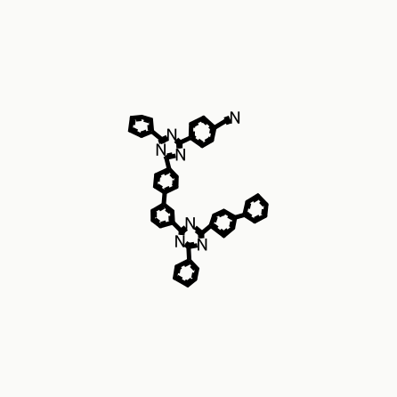 N#Cc1ccc(-c2nc(-c3ccccc3)nc(-c3ccc(-c4cccc(-c5nc(-c6ccccc6)nc(-c6ccc(-c7ccccc7)cc6)n5)c4)cc3)n2)cc1